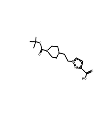 CC(C)(C)OC(=O)N1CCN(CCn2ccc(C(=O)O)n2)CC1